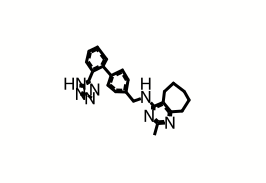 Cc1nc2c(c(NCc3ccc(-c4ccccc4-c4nnn[nH]4)cc3)n1)CCCCC2